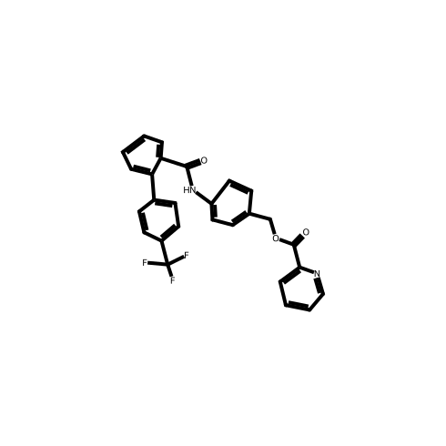 O=C(OCc1ccc(NC(=O)c2ccccc2-c2ccc(C(F)(F)F)cc2)cc1)c1ccccn1